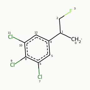 [CH2]C(CF)c1cc(Cl)c(Cl)c(Cl)c1